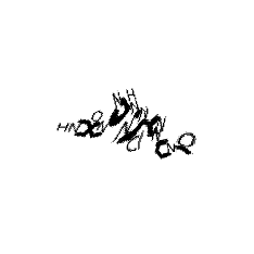 CC(=O)N1CCCC(n2cc(-c3nc(Nc4cncc(N5CCC6(CCNCC6)C5=O)c4)ncc3Cl)cn2)C1